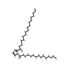 CCCCCCCCCCCCCCCCCC(C)c1nccn1C(C)CCCCCCCCCCCCCC